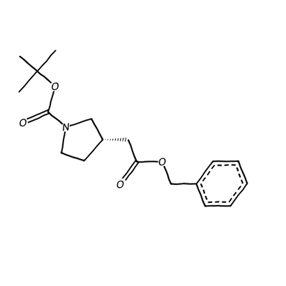 CC(C)(C)OC(=O)N1CC[C@@H](CC(=O)OCc2ccccc2)C1